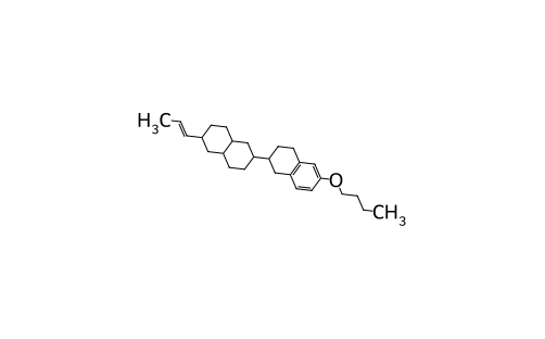 CC=CC1CCC2CC(C3CCc4cc(OCCCC)ccc4C3)CCC2C1